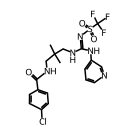 CC(C)(CNC(=O)c1ccc(Cl)cc1)CNC(=NS(=O)(=O)C(F)(F)F)Nc1cccnc1